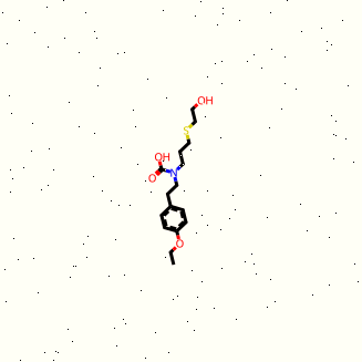 CCOc1ccc(CCN(CCCSCCO)C(=O)O)cc1